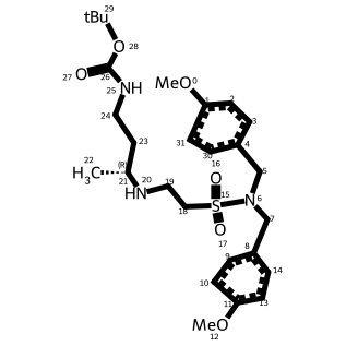 COc1ccc(CN(Cc2ccc(OC)cc2)S(=O)(=O)CCN[C@H](C)CCNC(=O)OC(C)(C)C)cc1